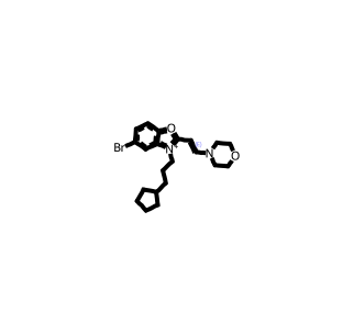 Brc1ccc2oc(/C=C/N3CCOCC3)[n+](CCCC3CCCC3)c2c1